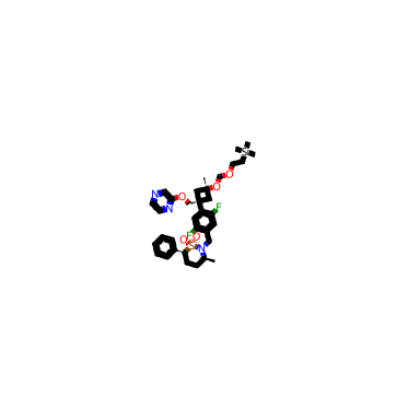 C[C@H]1CC[C@H](c2ccccc2)S(=O)(=O)N1Cc1cc(F)c([C@]2(COc3cnccn3)C[C@](C)(OCOCC[Si](C)(C)C)C2)cc1F